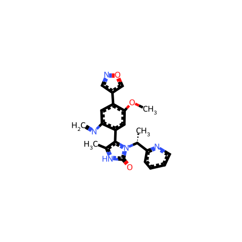 C=Nc1cc(-c2cnoc2)c(OC)cc1-c1c(C)[nH]c(=O)n1[C@H](C)c1ccccn1